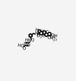 CC1(C)C(O)CCC2(C)C1CCC1(C)C3CCC4(C(=O)NCCc5cccc(C(=O)NCC6COC(C(=O)O)CO6)c5)CCCC4C3CCC12